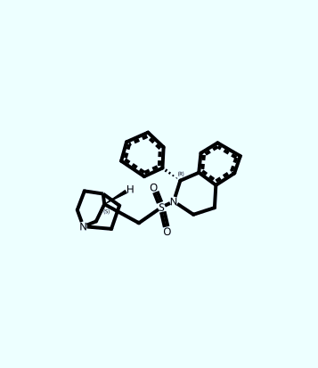 O=S(=O)(C[C@@H]1CN2CCC1CC2)N1CCc2ccccc2[C@H]1c1ccccc1